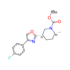 C[C@@H]1CC[C@H](c2nc(-c3ccc(F)cc3)co2)CN1C(=O)OC(C)(C)C